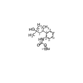 CC(CC(C)(C)O)c1ccccc1NC(=O)OC(C)(C)C